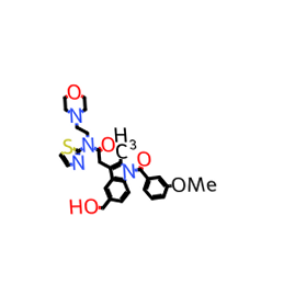 COc1cccc(C(=O)n2c(C)c(CC(=O)N(CCN3CCOCC3)c3nccs3)c3cc(CO)ccc32)c1